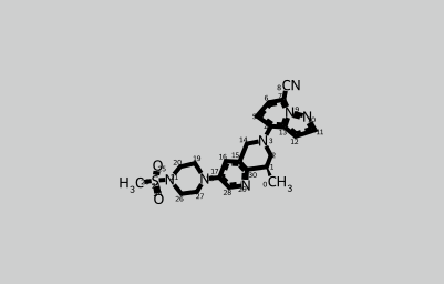 C[C@@H]1CN(c2ccc(C#N)n3nccc23)Cc2cc(N3CCN(S(C)(=O)=O)CC3)cnc21